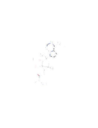 C[C@H](N)C(=O)OC1[C@H]2O[C@@](C#N)(c3ccc4c(N)ncnn34)[C@H](O)[C@@]12O